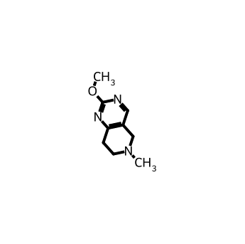 COc1ncc2c(n1)CCN(C)C2